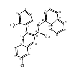 Cc1ncccc1-c1nc2ccc(Cl)cc2cc1[C@@H](Nc1ncnc2cccnc12)C(F)(F)F